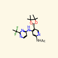 CC(=O)Nc1cc(Nc2ccnc(C(C)(F)F)n2)c(B2OC(C)(C)C(C)(C)O2)cn1